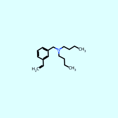 C=Cc1cccc(CN(CCCC)CCCC)c1